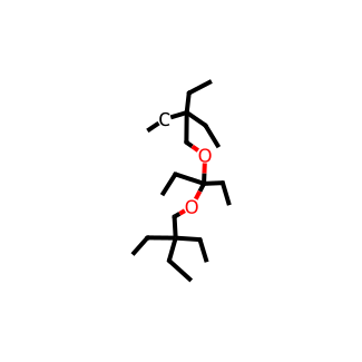 CCC(CC)(CC)COC(CC)(CC)OCC(CC)(CC)CC